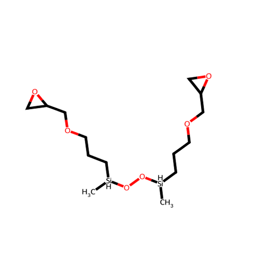 C[SiH](CCCOCC1CO1)OO[SiH](C)CCCOCC1CO1